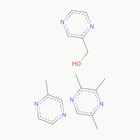 Cc1cnc(C)c(C)n1.Cc1cnccn1.OCc1cnccn1